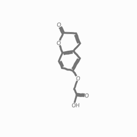 O=C(O)COc1ccc2oc(=O)ccc2c1